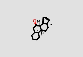 C[C@@]12C=CC=C1[C@@H]1C(=O)CC3CCCC[C@]3(C)[C@H]1CC2